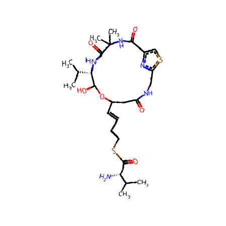 CC(C)[C@@H]1NC(=O)C(C)(C)NC(=O)c2csc(n2)CNC(=O)CC(/C=C/CCSC(=O)[C@@H](N)C(C)C)OC1O